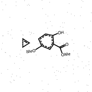 C1=CC1.COC(=O)c1cc(OC)ccc1O